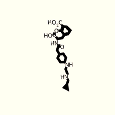 O=C(CC1CCC(NCCNCC2CC2)CC1)N[C@H]1Cc2cccc(C(=O)O)c2OB1O